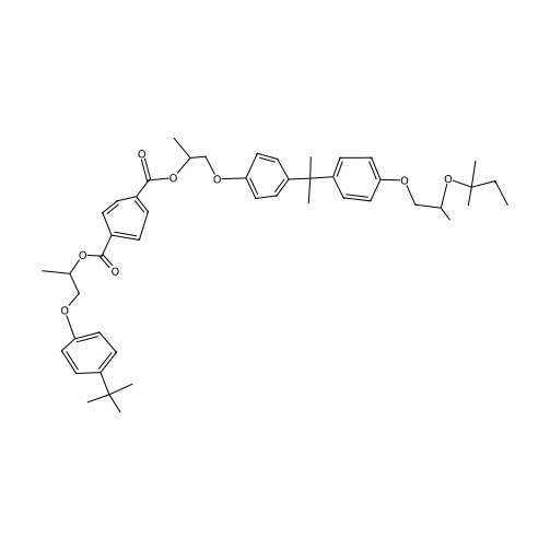 CCC(C)(C)OC(C)COc1ccc(C(C)(C)c2ccc(OCC(C)OC(=O)c3ccc(C(=O)OC(C)COc4ccc(C(C)(C)C)cc4)cc3)cc2)cc1